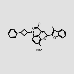 Cc1c(-c2cc(C(=O)[O-])c3c(OC4CC(c5ccccc5)C4)ccc(C)c3n2)oc2ccccc12.[Na+]